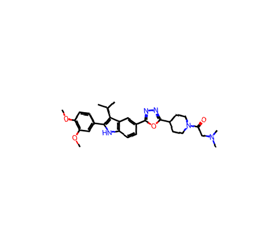 COc1ccc(-c2[nH]c3ccc(-c4nnc(C5CCN(C(=O)CN(C)C)CC5)o4)cc3c2C(C)C)cc1OC